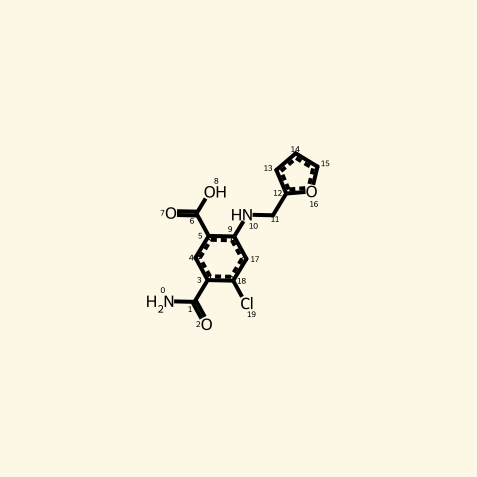 NC(=O)c1cc(C(=O)O)c(NCc2ccco2)cc1Cl